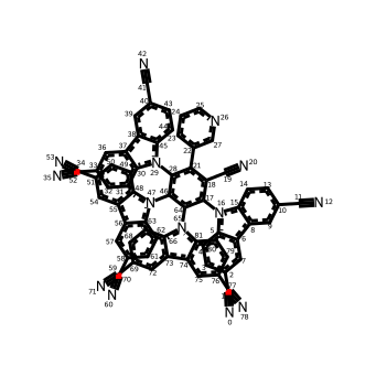 N#Cc1ccc2c(c1)c1cc(C#N)ccc1n2-c1c(C#N)c(-c2cccnc2)c(-n2c3ccc(C#N)cc3c3cc(C#N)ccc32)c(-n2c3ccc(C#N)cc3c3cc(C#N)ccc32)c1-n1c2ccc(C#N)cc2c2cc(C#N)ccc21